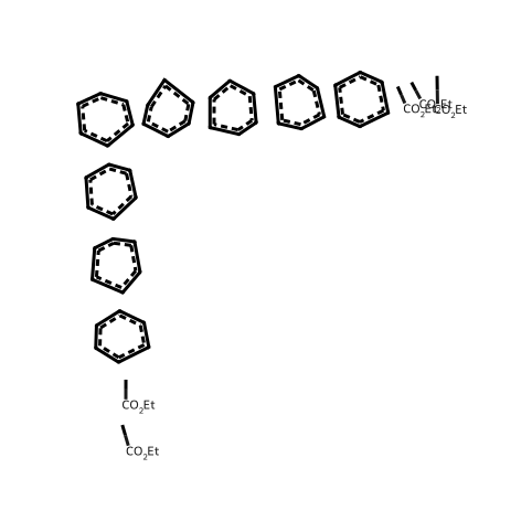 CCOC(C)=O.CCOC(C)=O.CCOC(C)=O.CCOC(C)=O.CCOC(C)=O.c1ccccc1.c1ccccc1.c1ccccc1.c1ccccc1.c1ccccc1.c1ccccc1.c1ccccc1.c1ccccc1